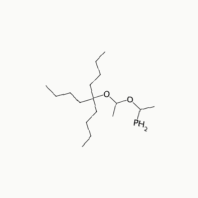 CCCCC(CCCC)(CCCC)OC(C)OC(C)P